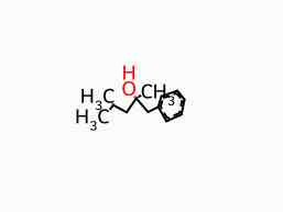 CC(C)C[C@](C)(O)Cc1ccccc1